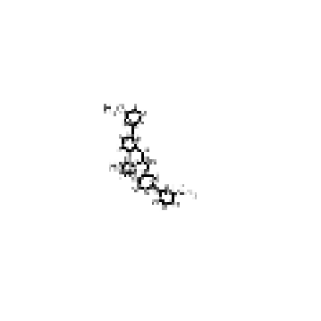 Cc1cccc(-c2cccc(CC(Cc3cccc(-c4cccc(C)n4)n3)c3nn[nH]n3)n2)n1